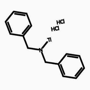 Cl.Cl.[Ti][N](Cc1ccccc1)Cc1ccccc1